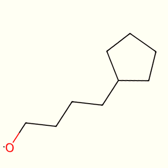 [O]CCCCC1CCCC1